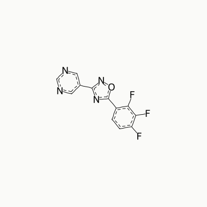 Fc1ccc(-c2nc(-c3cncnc3)no2)c(F)c1F